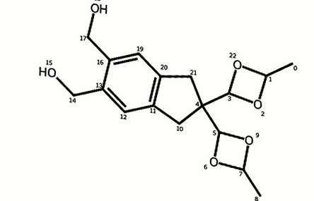 CC1OC(C2(C3OC(C)O3)Cc3cc(CO)c(CO)cc3C2)O1